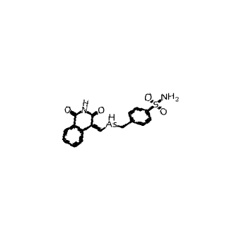 NS(=O)(=O)c1ccc(C[AsH]C=C2C(=O)NC(=O)c3ccccc32)cc1